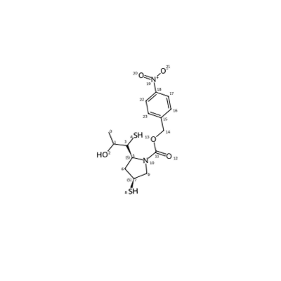 CC(O)C(S)[C@@H]1C[C@H](S)CN1C(=O)OCc1ccc([N+](=O)[O-])cc1